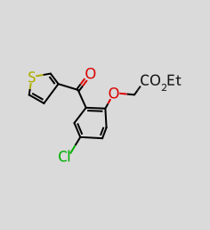 CCOC(=O)COc1ccc(Cl)cc1C(=O)c1ccsc1